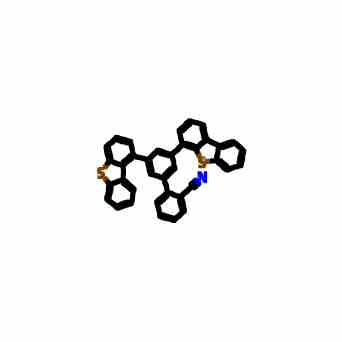 N#Cc1ccccc1-c1cc(-c2cccc3c2sc2ccccc23)cc(-c2cccc3sc4ccccc4c23)c1